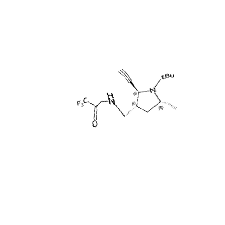 C#C[C@@H]1[C@@H](CNC(=O)C(F)(F)F)C[C@@H](C)N1C(C)(C)C